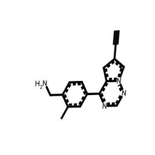 C#Cc1cc2c(-c3ccc(CN)c(C)c3)ncnn2c1